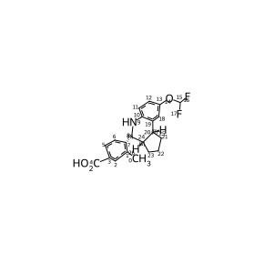 Cc1cc(C(=O)O)ccc1[C@@H]1Nc2ccc(OC(F)F)cc2[C@@H]2CCC[C@@H]21